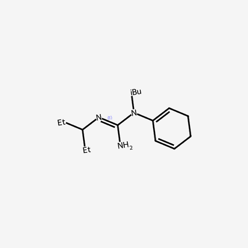 CCC(CC)/N=C(\N)N(C1=CCCC=C1)C(C)CC